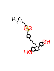 CCCCCCS(=O)(=O)CCc1ccc(CCCCC2c3ccc(O)cc3CCC2c2ccc(O)cc2)cc1